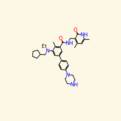 CCN(CC1CCCC1)c1cc(-c2ccc(N3CCNCC3)cc2)cc(C(=O)NCc2c(C)cc(C)[nH]c2=O)c1C